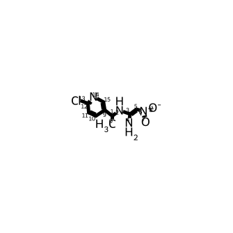 CC(N/C(N)=C/[N+](=O)[O-])c1ccc(Cl)nc1